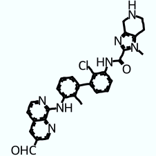 Cc1c(Nc2nccc3cc(C=O)cnc23)cccc1-c1cccc(NC(=O)c2nc3c(n2C)CCNC3)c1Cl